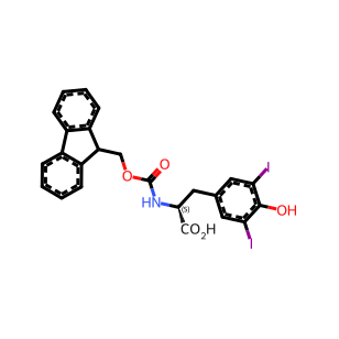 O=C(N[C@@H](Cc1cc(I)c(O)c(I)c1)C(=O)O)OCC1c2ccccc2-c2ccccc21